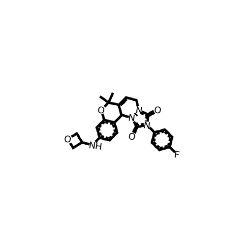 CC1(C)Oc2cc(NC3COC3)ccc2C2C1=CCn1c(=O)n(-c3ccc(F)cc3)c(=O)n12